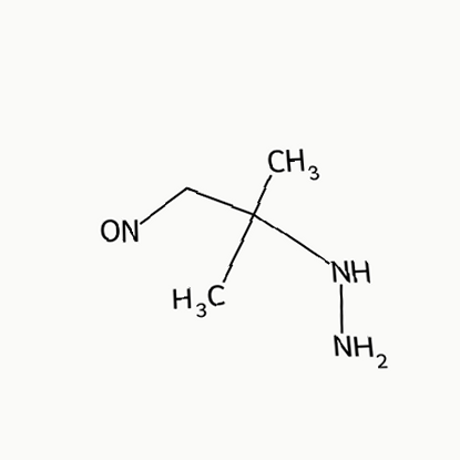 CC(C)(CN=O)NN